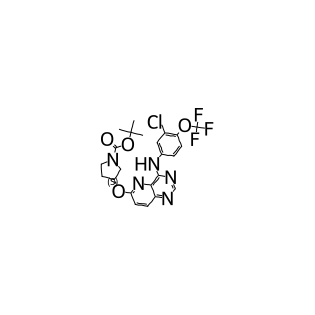 CC(C)(C)OC(=O)N1CC[C@H](Oc2ccc3ncnc(Nc4ccc(OC(F)(F)F)c(Cl)c4)c3n2)C1